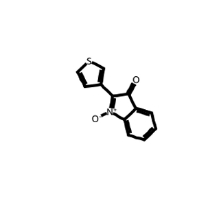 O=C1C(c2ccsc2)=[N+]([O-])c2ccccc21